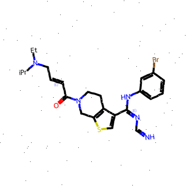 CCN(C/C=C/C(=O)N1CCc2c(/C(=N\C=N)Nc3cccc(Br)c3)csc2C1)C(C)C